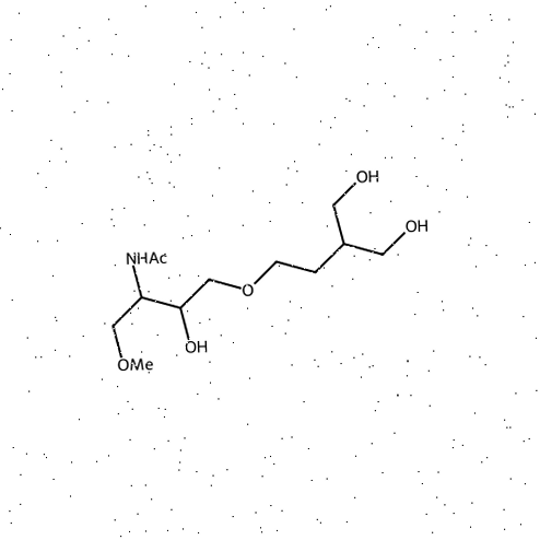 COCC(NC(C)=O)C(O)COCCC(CO)CO